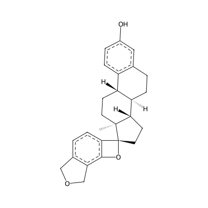 C[C@]12CC[C@@H]3c4ccc(O)cc4CC[C@H]3[C@@H]1CC[C@]21Oc2c1ccc1c2COC1